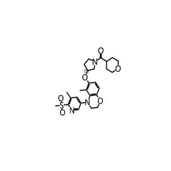 Cc1cc(N2CCOc3ccc(O[C@H]4CCN(C(=O)C5CCOCC5)C4)c(C)c32)cnc1S(C)(=O)=O